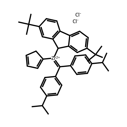 CC(C)c1ccc([C](c2ccc(C(C)C)cc2)=[Zr+2]([C]2=CC=CC2)[CH]2c3cc(C(C)(C)C)ccc3-c3ccc(C(C)(C)C)cc32)cc1.[Cl-].[Cl-]